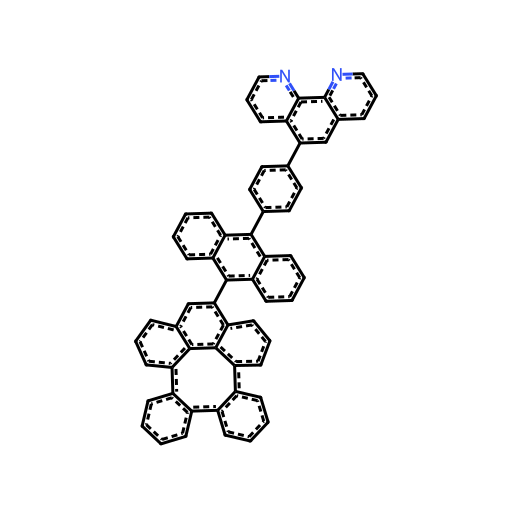 c1cnc2c(c1)cc(-c1ccc(-c3c4ccccc4c(-c4cc5cccc6c7ccccc7c7ccccc7c7cccc4c7c56)c4ccccc34)cc1)c1cccnc12